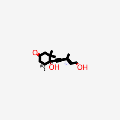 C/C(C#C[C@]1(O)[C@H](C)CC(=O)CC1(C)C)=C\CO